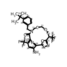 CC(C)(C)c1cccc(CN2CCCOCC(C(F)(F)F)c3nnc(o3)-c3nc(c(C(F)(F)F)cc3N)C2=O)c1